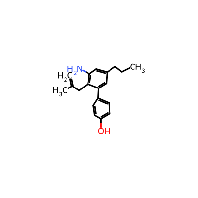 C=C(C)Cc1c(N)cc(CCC)cc1-c1ccc(O)cc1